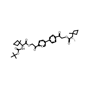 C[C@H](C(=O)OCC(=O)c1ccc(-c2ccc(C(=O)COC(=O)[C@@H](NC(=O)OC(C)(C)C)C3(C)CCC3)cc2)cc1)C1(C)CCC1